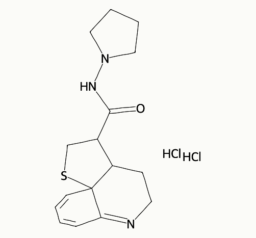 Cl.Cl.O=C(NN1CCCC1)C1CSC23C=CC=CC2=NCCC13